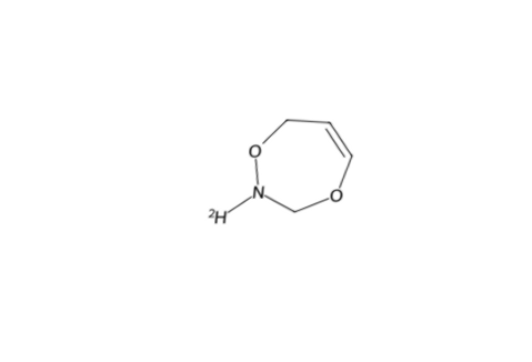 [2H]N1COC=CCO1